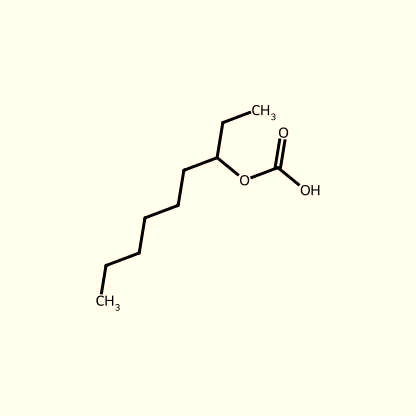 CCCCCCC(CC)OC(=O)O